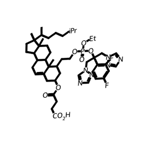 CCOP(=O)(OCCC1CC(OC(=O)CCC(=O)O)CC2=CCC3C(CCC4(C)C3CCC4(C)C(C)CCCC(C)C)C21C)OC(Cn1cncn1)(Cn1cncn1)c1ccc(F)cc1F